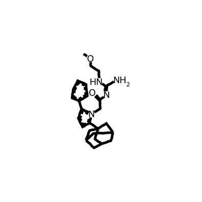 COCCN/C(N)=N\C(=O)Cn1c(-c2ccccc2)ccc1C12CC3CC(CC(C3)C1)C2